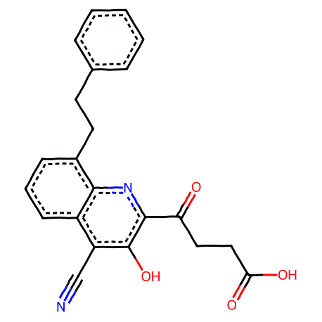 N#Cc1c(O)c(C(=O)CCC(=O)O)nc2c(CCc3ccccc3)cccc12